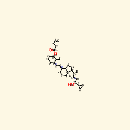 C=C1/C(=C\C=C2/CCC[C@@]3(C)C2CCC3[C@@H](C)/C=C/C(O)C2CC2)CCC[C@@H]1OC(=O)CCC(C)=O